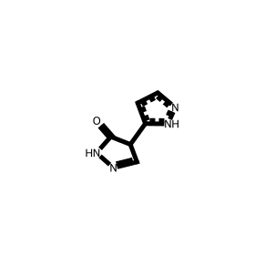 O=C1NN=CC1c1ccn[nH]1